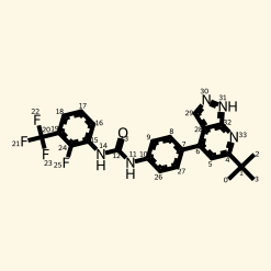 CC(C)(C)c1cc(-c2ccc(NC(=O)Nc3cccc(C(F)(F)F)c3F)cc2)c2cn[nH]c2n1